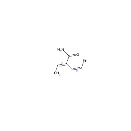 C/C=C(\C=C/CC)C(N)=O